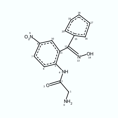 NCC(=O)Nc1ccc([N+](=O)[O-])cc1C(=NO)c1ccccc1